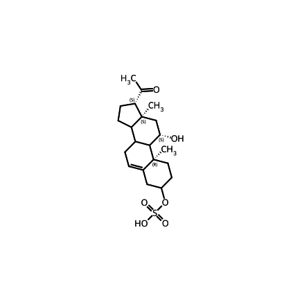 CC(=O)[C@H]1CCC2C3CC=C4CC(OS(=O)(=O)O)CC[C@]4(C)C3[C@@H](O)C[C@@]21C